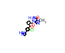 Cn1ncc(NC(=O)C2CC=CCC2C(=O)c2ccc(-c3ccn[nH]3)cc2Cl)c1C(N)=O